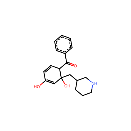 O=C(c1ccccc1)C1C=CC(O)=CC1(O)CC1CCCNC1